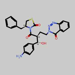 Nc1ccc([C@@H](O)[C@H](CCn2nnc3ccccc3c2=O)C(=O)N2C(=O)SC[C@@H]2Cc2ccccc2)cc1